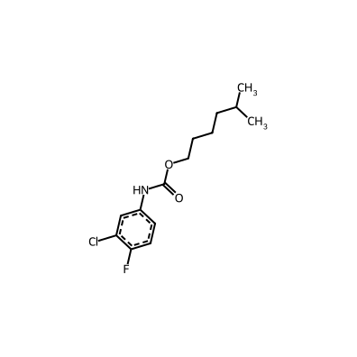 CC(C)CCCCOC(=O)Nc1ccc(F)c(Cl)c1